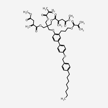 C=C(C)C(=O)OCCCc1cc(-c2ccc(OCc3ccc(CCCCCCCC)cc3)cc2)ccc1OCC(COC(=O)C(=C)C)(COC(=O)C(=C)CC(=O)OC)COC(=O)C(=C)CC(=O)OC